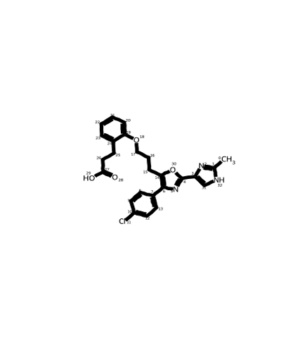 Cc1nc(-c2nc(-c3ccc(Cl)cc3)c(CCCOc3ccccc3CCC(=O)O)o2)c[nH]1